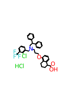 Cl.O=C(O)C1CCCc2c(OCCCN(Cc3cccc(C(F)(F)F)c3Cl)CC(c3ccccc3)c3ccccc3)cccc21